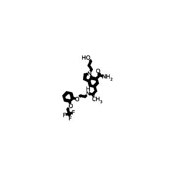 C[C@H](Cc1cc(C(N)=O)c2c(ccn2CCCO)c1)NCCOc1ccccc1OCC(F)(F)F